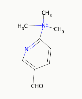 C[N+](C)(C)c1ccc(C=O)cn1